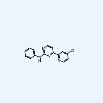 Clc1ccnc(-c2ccnc(Nc3ccccc3)n2)c1